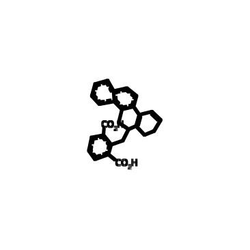 O=C(O)c1cccc(C(=O)O)c1CC1Cc2c(ccc3ccccc23)C2=C1CCC=C2